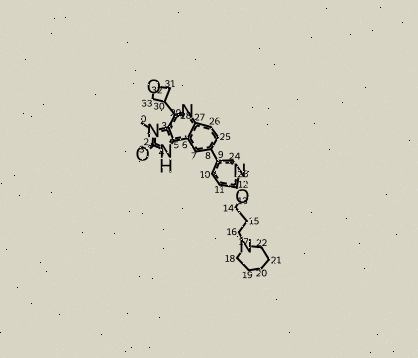 Cn1c(=O)[nH]c2c3cc(-c4ccc(OCCCN5CCCCC5)nc4)ccc3nc(C3COC3)c21